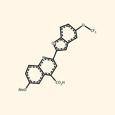 COc1ccc2nc(-c3cc4cc(OC(F)(F)F)ccc4o3)cc(C(=O)O)c2c1